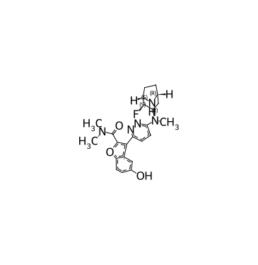 CN(C)C(=O)c1oc2ccc(O)cc2c1-c1ccc(N(C)[C@@H]2C[C@H]3CC[C@H](N3)[C@@H]2F)nn1